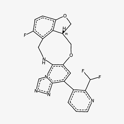 Fc1ccc2c3c1CNc1c(cc(-c4cccnc4C(F)F)c4nncn14)OC[C@H]3CO2